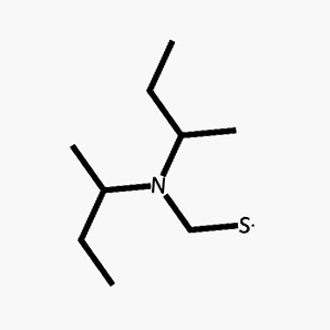 CCC(C)N(C[S])C(C)CC